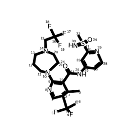 Cc1c(C(F)(F)F)cnc(N2CCCN(CC(F)(F)F)CC2)c1C(=O)Nc1ccnc(S(C)(=N)=O)c1